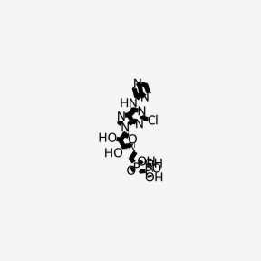 O=P(O)(O)CP(=O)(O)CC[C@H]1O[C@@H](n2cnc3c(NC4CN5CCN4CC5)nc(Cl)nc32)C(O)[C@H]1O